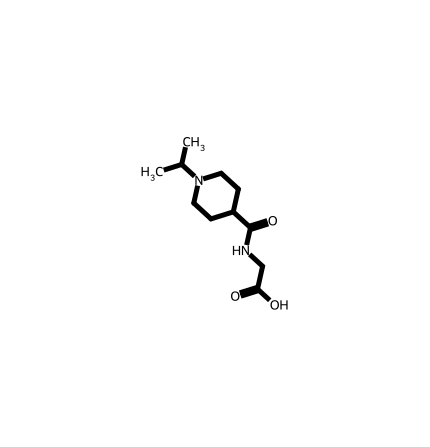 CC(C)N1CCC(C(=O)NCC(=O)O)CC1